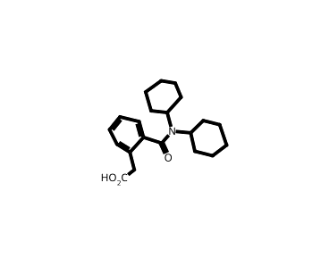 O=C(O)Cc1ccccc1C(=O)N(C1CCCCC1)C1CCCCC1